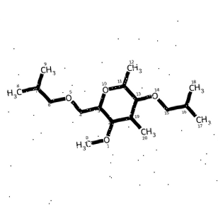 COC1C(COCC(C)C)OC(C)C(OCC(C)C)C1C